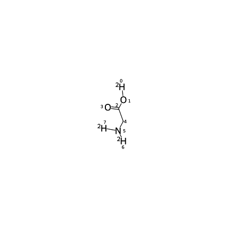 [2H]OC(=O)CN([2H])[2H]